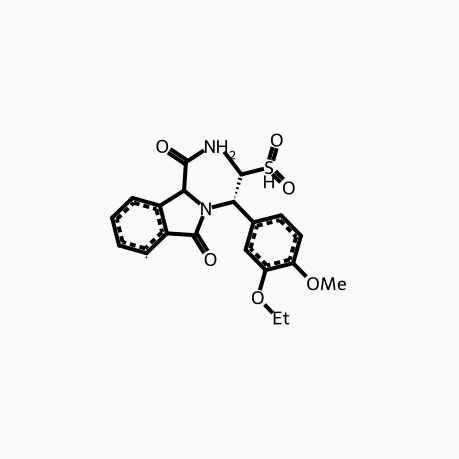 CCOc1cc([C@@H](C(C)[SH](=O)=O)N2C(=O)c3[c]cccc3C2C(N)=O)ccc1OC